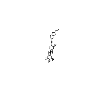 CCCC1=Cc2ccc(C#Cc3ccc(N=Nc4cc(F)c(F)c(F)c4)cc3F)cc2C1